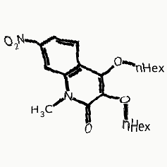 CCCCCCOc1c(OCCCCCC)c2ccc([N+](=O)[O-])cc2n(C)c1=O